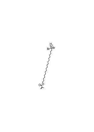 C=C(C)C(=O)OCCCCCCCCCCCCCCCCCCCCC([SiH3])(Br)Br